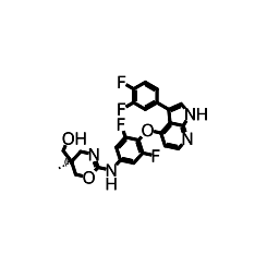 C[C@]1(CO)CN=C(Nc2cc(F)c(Oc3ccnc4[nH]cc(-c5ccc(F)c(F)c5)c34)c(F)c2)OC1